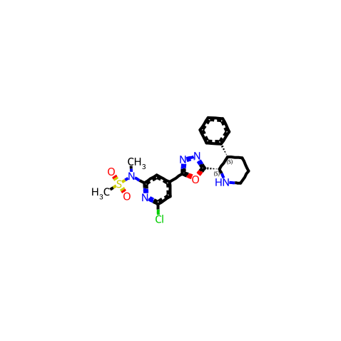 CN(c1cc(-c2nnc([C@H]3NCCC[C@H]3c3ccccc3)o2)cc(Cl)n1)S(C)(=O)=O